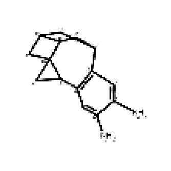 Nc1cc2c(cc1N)C1CC13CC1CC2CC13